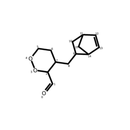 O=CC1OOCCC1CC1CC2C=CC1C2